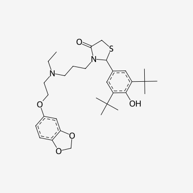 CCN(CCCN1C(=O)CSC1c1cc(C(C)(C)C)c(O)c(C(C)(C)C)c1)CCOc1ccc2c(c1)OCO2